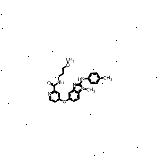 COCCCNC(=O)c1cc(Oc2ccc3c(c2)nc(Nc2ccc(C)cc2)n3C)ccn1